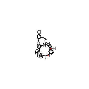 C[C@@H]1[C@@H](C)C[C@@H]2C=CC[C@](O)(C2)[C@@H]2CC[C@H]2CN2CCCCc3cc(Cl)ccc3COc3ccc(cc32)C(=O)NS1(=O)=O